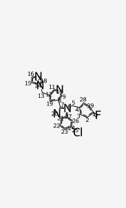 Fc1ccc(Cn2c(-c3cncc(Cn4ccnc4)c3)nc3ccc(Cl)cc32)cc1